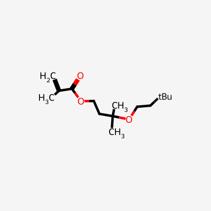 C=C(C)C(=O)OCCC(C)(C)OCCC(C)(C)C